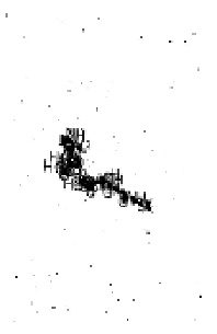 CC(C)SCCNC(=O)CCNC(=O)[C@H](O)C(C)(C)COP(=O)(O)OP(=O)(O)OC[C@H]1O[C@@H](n2cnc3c(N)ncnc32)[C@H](O)[C@@H]1OP(=O)(O)O